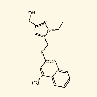 CCn1nc(CO)cc1CSc1cc(O)c2ccccc2c1